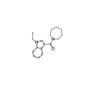 O=C(c1cn(CI)c2ccccc12)N1CCCCCC1